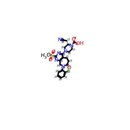 CS(=O)(=O)c1nc2c(c(N3CCN(C(=O)O)[C@@H](CC#N)C3)n1)CCC(=O)N(c1ccccc1F)C2